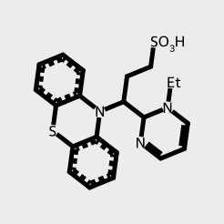 CCN1C=CC=NC1C(CCS(=O)(=O)O)N1c2ccccc2Sc2ccccc21